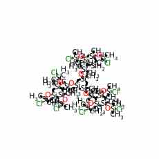 C[Si](C)(Cl)O[Si]1(C)C[SiH2]C([Si](C)(C)O[Si]2(C)C[Si](C)(O[Si](C)(C)C3[Si](C)(O[Si](C)(C)Cl)C[Si](C)(O[Si](C)(C)Cl)C[Si]3(C)O[Si](C)(C)Cl)C[Si](C)(O[Si](C)(C)C3[Si](C)(O[Si](C)(C)Cl)C[Si](C)(O[Si](C)(C)Cl)C[Si]3(C)O[Si](C)(C)Cl)C2)[Si](C)(O[Si](C)(C)Cl)C1